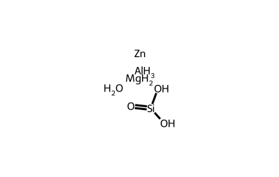 O.O=[Si](O)O.[AlH3].[MgH2].[Zn]